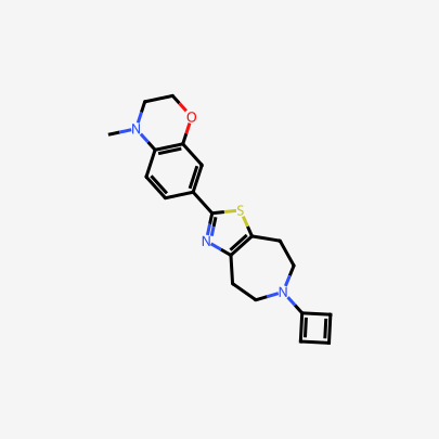 CN1CCOc2cc(-c3nc4c(s3)CCN(C3=CC=C3)CC4)ccc21